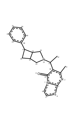 Cc1nc2sccn2c(=O)c1C(C)N1CC2CC(c3ccccc3)C2C1